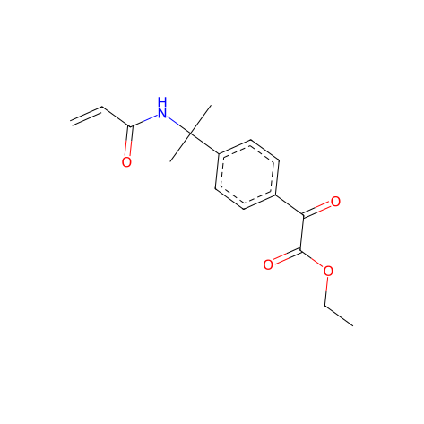 C=CC(=O)NC(C)(C)c1ccc(C(=O)C(=O)OCC)cc1